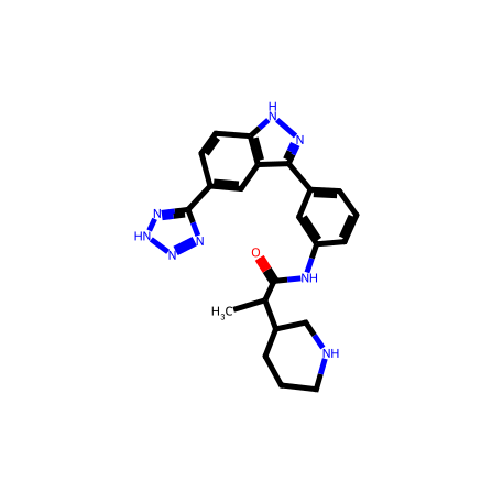 CC(C(=O)Nc1cccc(-c2n[nH]c3ccc(-c4nn[nH]n4)cc23)c1)C1CCCNC1